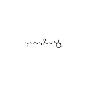 Cc1ccccc1OCCCC(=O)OCCCCCC(C)C